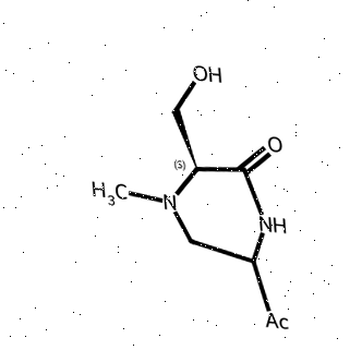 CC(=O)C1CN(C)[C@@H](CO)C(=O)N1